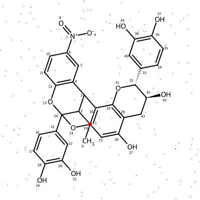 CCC1C2c3cc([N+](=O)[O-])ccc3OC1(c1ccc(O)c(O)c1)Oc1cc(O)c3c(c12)O[C@H](c1ccc(O)c(O)c1)[C@@H](O)C3